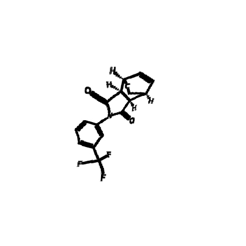 O=C1[C@@H]2[C@H](C(=O)N1c1cccc(C(F)(F)F)c1)[C@@H]1C=C[C@H]2CC1